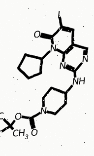 CC(C)(C)OC(=O)N1CCC(Nc2ncc3cc(I)c(=O)n(C4CCCC4)c3n2)CC1